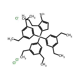 CCCC1=C([Si](c2cc(CC)cc(CC)c2)(c2cc(CC)cc(CC)c2)c2cc(CC)cc(CC)c2)CC=[C]1[Ti+3].[Cl-].[Cl-].[Cl-]